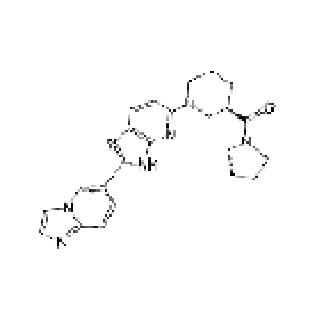 O=C([C@@H]1CCCN(c2ccc3nc(-c4ccc5nccn5c4)[nH]c3n2)C1)N1CCCC1